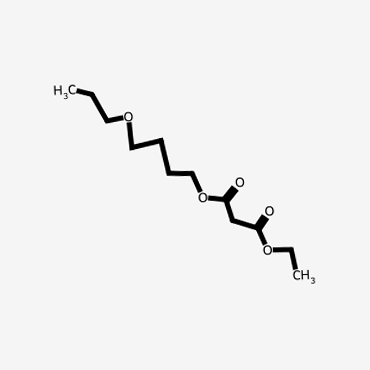 CCCOCCCCOC(=O)CC(=O)OCC